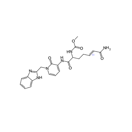 COC(=O)NC(CC/C=C/C(N)=O)C(=O)Nc1cccn(Cc2nc3ccccc3[nH]2)c1=O